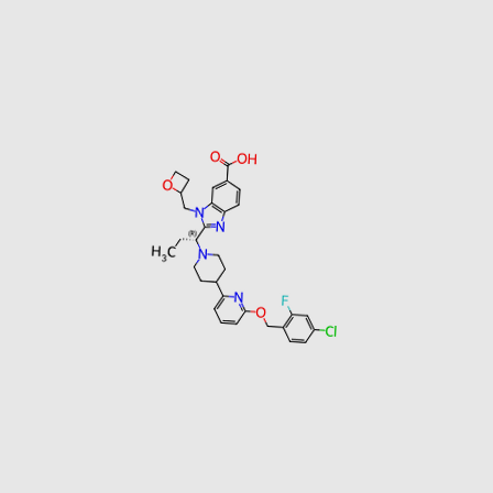 CC[C@H](c1nc2ccc(C(=O)O)cc2n1CC1CCO1)N1CCC(c2cccc(OCc3ccc(Cl)cc3F)n2)CC1